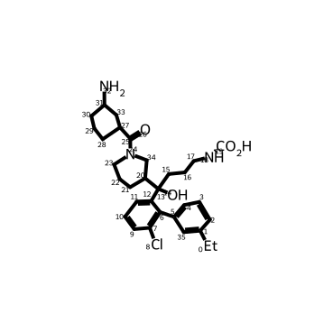 CCc1cccc(-c2c(Cl)cccc2C(O)(CCCNC(=O)O)C2CCCN(C(=O)C3CCCC(N)C3)C2)c1